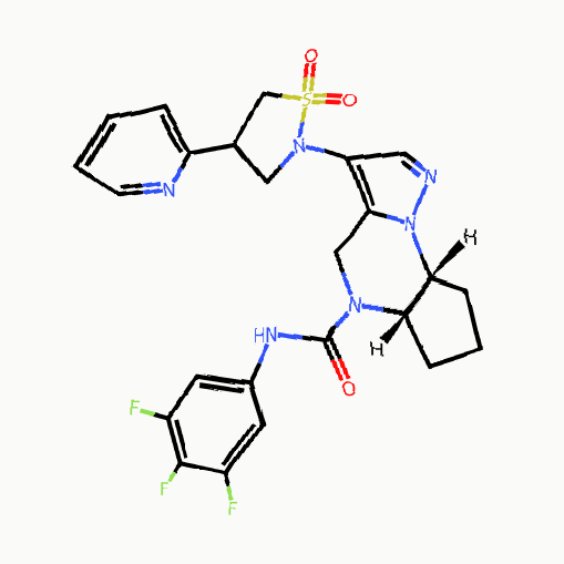 O=C(Nc1cc(F)c(F)c(F)c1)N1Cc2c(N3CC(c4ccccn4)CS3(=O)=O)cnn2[C@@H]2CCC[C@@H]21